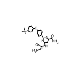 CC(C)(C)c1ccc(Oc2ccc(-c3nc(N[C@H](C=O)CN)cc(C(N)=O)n3)cc2)cc1